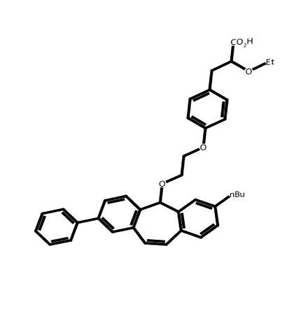 CCCCc1ccc2c(c1)C(OCCOc1ccc(CC(OCC)C(=O)O)cc1)c1ccc(-c3ccccc3)cc1C=C2